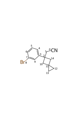 N#CCC1(c2cccc(Br)c2)CC2(CC2)C1